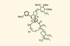 CC[C@H]1CCC[C@H](O[C@H]2CC[C@H](N(C)C)C(C)O2)[C@@H](C)C(=O)C2=C[C@@H]3C(C=C(c4cccc(OC)c4)C4C[C@@H](OC5OC(C)C(OC)C(OC)C5OC)C[C@H]43)[C@@H]2CC(=O)O1